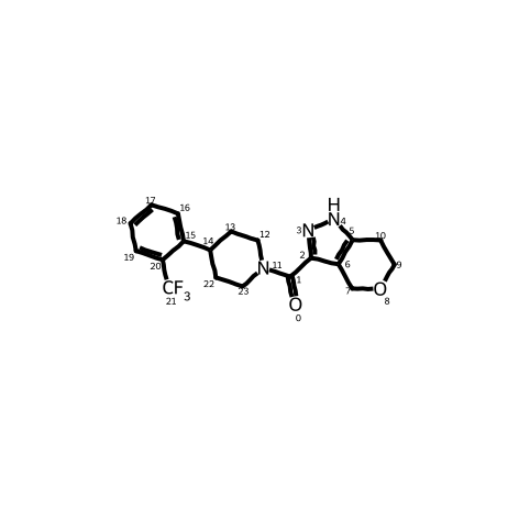 O=C(c1n[nH]c2c1COCC2)N1CCC(c2ccccc2C(F)(F)F)CC1